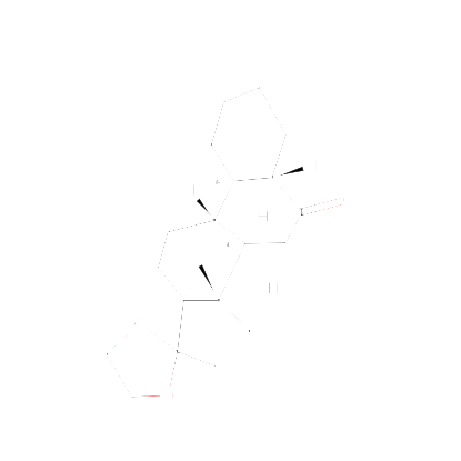 C[C@H]1CC[C@@H]2[C@H]3CC[C@@]4(C)[C@@H](CCC45OCCO5)[C@@H]3CC(=O)[C@H]2C1